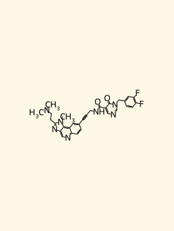 CN(C)CCc1nc2cnc3ccc(C#CCNC(=O)c4cncn(Cc5ccc(F)c(F)c5)c4=O)cc3c2n1C